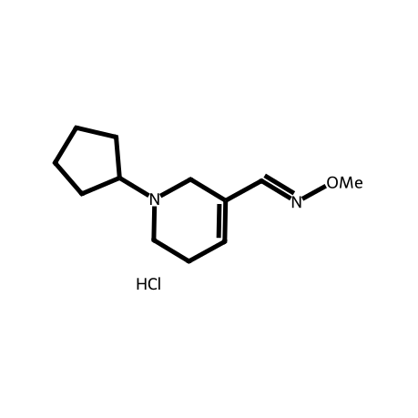 CON=CC1=CCCN(C2CCCC2)C1.Cl